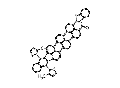 Cc1ccsc1-c1c2c(c(-c3sccc3C)c3ccccc13)-c1ccc3c4ccc5c6ccc7c8c(ccc(c9ccc(c%10ccc-2c1c%103)c4c95)c68)c(=O)n1c2ccccc2nc71